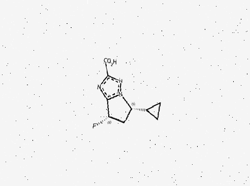 O=C(O)c1nc2n(n1)[C@H](C1CC1)C[C@@H]2F